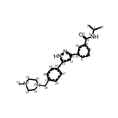 CC(C)NC(=O)c1cccc(-c2cc(-c3ccc(CN4CCN(C)CC4)cc3)[nH]n2)c1